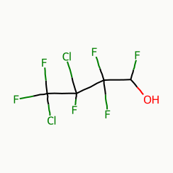 OC(F)C(F)(F)C(F)(Cl)C(F)(F)Cl